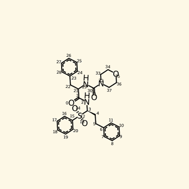 O=C(N[C@@H](CCc1ccccc1)S(=O)(=O)c1ccccc1)C(Cc1ccccc1)NC(=O)N1CCOCC1